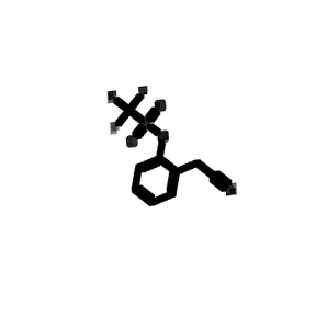 N#CCc1ccccc1OS(=O)(=O)C(F)(F)F